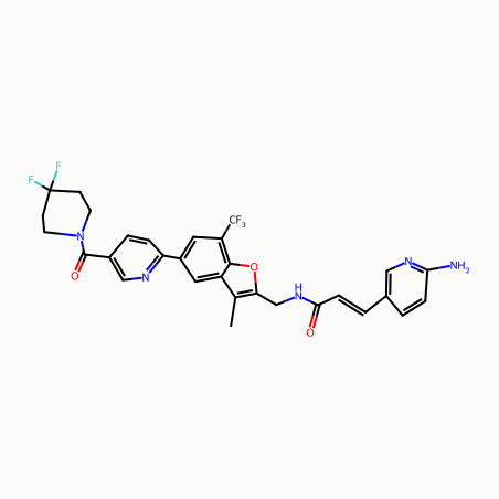 Cc1c(CNC(=O)C=Cc2ccc(N)nc2)oc2c(C(F)(F)F)cc(-c3ccc(C(=O)N4CCC(F)(F)CC4)cn3)cc12